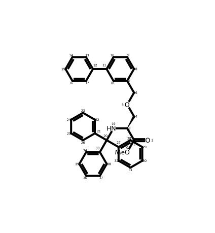 COC(=O)[C@H](COCc1cccc(-c2ccccc2)c1)NC(c1ccccc1)(c1ccccc1)c1ccccc1